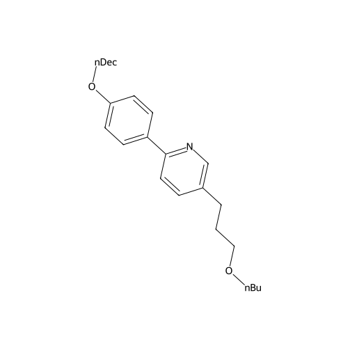 CCCCCCCCCCOc1ccc(-c2ccc(CCCOCCCC)cn2)cc1